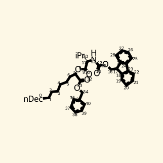 CCCCCCCCCCCCCCCCC(OC(=O)[C@@H](NC(=O)OCC1c2ccccc2-c2ccccc21)C(C)C)C(=O)OCc1ccccc1